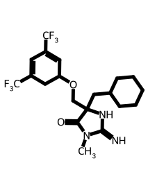 CN1C(=N)NC(COC2C=C(C(F)(F)F)C=C(C(F)(F)F)C2)(CC2CCCCC2)C1=O